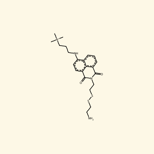 C[N+](C)(C)CCCNc1ccc2c3c(cccc13)C(=O)N(CCSSCCN)C2=O